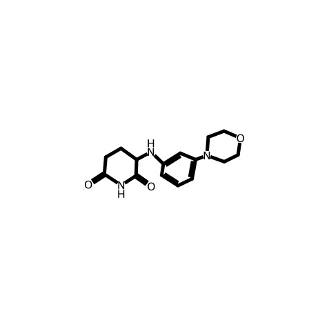 O=C1CCC(Nc2cccc(N3CCOCC3)c2)C(=O)N1